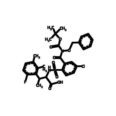 Cc1ccc(F)c(C(C)C(NS(=O)(=O)c2ccc(Cl)cc2C(=O)N(OCc2ccccc2)C(=O)OC(C)(C)C)C(=O)O)c1C